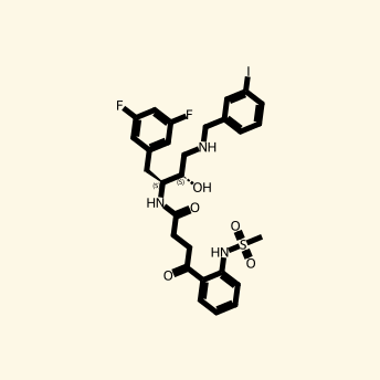 CS(=O)(=O)Nc1ccccc1C(=O)CCC(=O)N[C@@H](Cc1cc(F)cc(F)c1)[C@@H](O)CNCc1cccc(I)c1